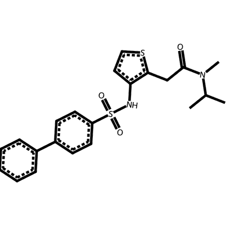 CC(C)N(C)C(=O)Cc1sccc1NS(=O)(=O)c1ccc(-c2ccccc2)cc1